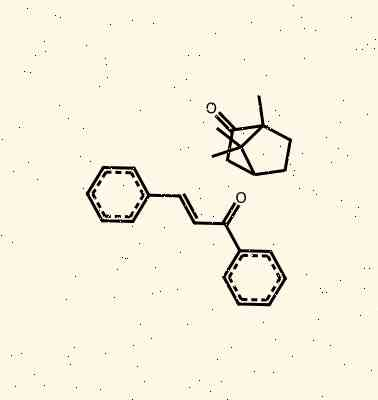 CC12CCC(CC1=O)C2(C)C.O=C(C=Cc1ccccc1)c1ccccc1